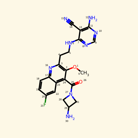 COc1c(CCNc2ncnc(N)c2C#N)nc2ccc(F)cc2c1C(=O)N1CC(N)C1